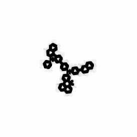 CC1(C)c2cc(N(c3ccc(-c4ccc5ccccc5c4)cc3)c3ccc(-c4ccc5c6c7ccccc7ccc6n(-c6ccccc6)c5c4)cc3)ccc2-c2cccc3cccc1c23